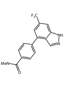 CNC(=O)c1ccc(-c2cc(C(F)(F)F)cc3[nH]ncc23)cc1